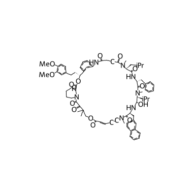 COc1ccc(CC[C@H]2OC(=O)[C@@H]3CCCCN3C(=O)C(=O)C(C)(C)COC(=O)/C=C\CCN(C)C(=O)[C@H](Cc3ccc4ccccc4c3)NC(O)[C@H](C(C)C)N(C)C(=O)[C@@H](Cc3ccccc3)NC(=O)[C@H](CC(C)C)N(C)C(=O)CCC(=O)Nc3cccc2c3)cc1OC